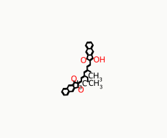 CCC(/C=C/C1=C(O)c2cc3ccccc3cc2C1=O)=C\C(=C\C=C1C(=O)c2cc3ccccc3cc2C1=O)CC(C)C